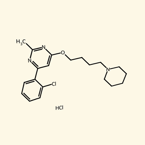 Cc1nc(OCCCCN2CCCCC2)cc(-c2ccccc2Cl)n1.Cl